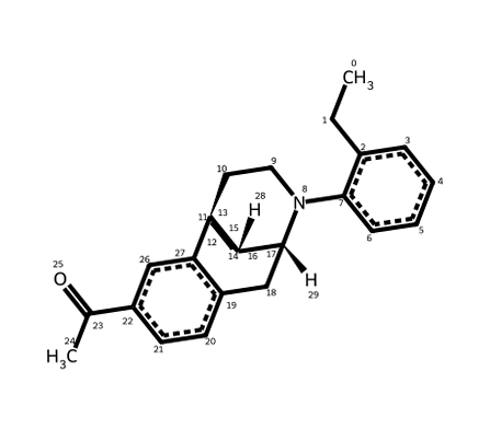 CCc1ccccc1N1CC[C@]23CCCC[C@H]2[C@H]1Cc1ccc(C(C)=O)cc13